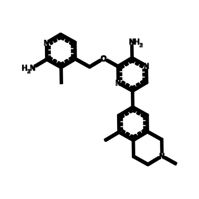 Cc1cc(-c2cnc(N)c(OCc3ccnc(N)c3C)n2)cc2c1CCN(C)C2